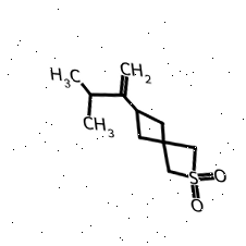 C=C(C(C)C)C1CC2(C1)CS(=O)(=O)C2